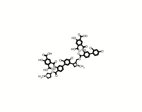 CN1CCC(OC(=O)c2ccc(-c3cc(C4CN(C)C4COC(=O)c4ccc(-c5ccc(Cl)cc5Cl)cc4NC(=O)c4cc(C(=O)O)c(O)cc4C(=O)O)c(Cl)cc3Cl)cc2NC(=O)c2cc(C(=O)O)c(O)cc2C(=O)O)C1